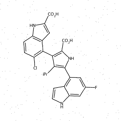 CC(C)c1c(-c2cc(F)cc3[nH]ccc23)[nH]c(C(=O)O)c1-c1c(Cl)ccc2[nH]c(C(=O)O)cc12